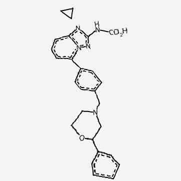 C1CC1.O=C(O)Nc1nc2cccc(-c3ccc(CN4CCOC(c5ccccc5)C4)cc3)n2n1